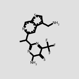 CC(C1=NC(N)C(=S)C(C(F)(F)F)=N1)c1cc2c(CN)csc2cn1